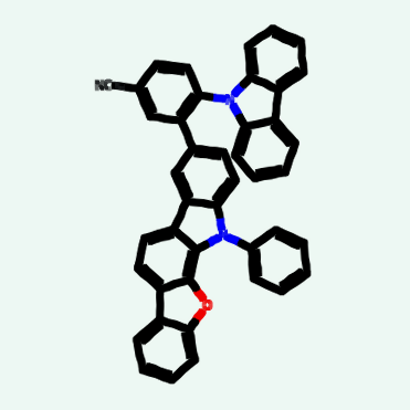 N#Cc1ccc(-n2c3ccccc3c3ccccc32)c(-c2ccc3c(c2)c2ccc4c5ccccc5oc4c2n3-c2ccccc2)c1